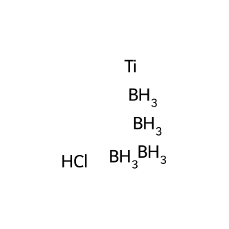 B.B.B.B.Cl.[Ti]